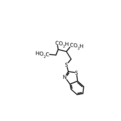 O=C(O)CC(C(=O)O)C(CSc1nc2ccccc2s1)C(=O)O